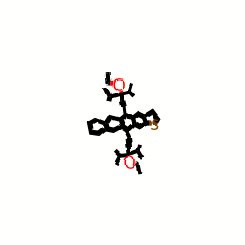 CCOC(C#Cc1c2cc3ccccc3cc2c(C#CC(OCC)(C(C)C)C(C)C)c2cc3sccc3cc12)(C(C)C)C(C)C